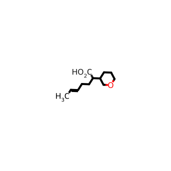 CC=CCCC(C(=O)O)C1CCCOC1